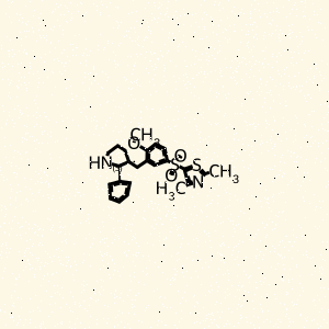 COc1ccc(S(=O)(=O)c2sc(C)nc2C)cc1C[C]1CCCN[C@@H]1c1ccccc1